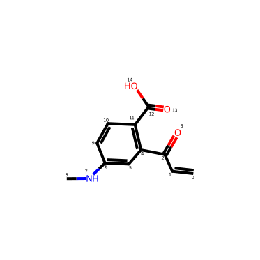 C=CC(=O)c1cc(NC)ccc1C(=O)O